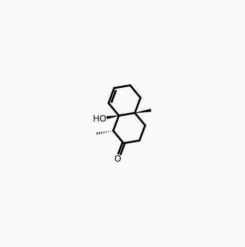 C[C@H]1C(=O)CC[C@@]2(C)CCC=C[C@@]12O